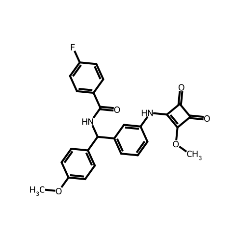 COc1ccc(C(NC(=O)c2ccc(F)cc2)c2cccc(Nc3c(OC)c(=O)c3=O)c2)cc1